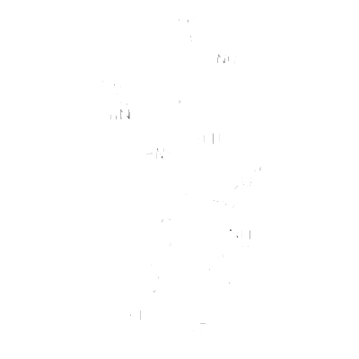 CC(Nc1cc(C(N)=O)ccn1)c1cc2cc(Cl)c(F)cc2[nH]c1=O